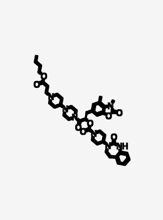 CCCCOC(=O)CCN1CCC(N2CCN(C(=O)[C@@H](Cc3cc(C)c4c(c3)oc(=O)n4C)OC(=O)N3CCC(N4CCc5ccccc5NC4=O)CC3)CC2)CC1